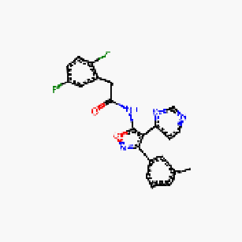 Cc1cccc(-c2noc(NC(=O)Cc3cc(F)ccc3F)c2-c2ccncn2)c1